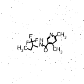 CCC(CNC(=O)c1cnc(C)cc1C)C(F)(F)F